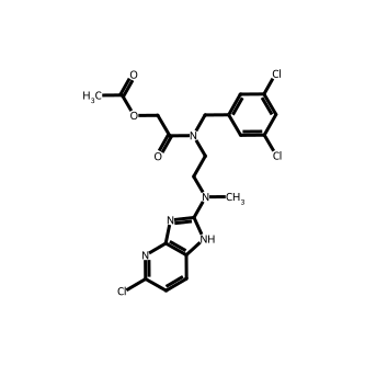 CC(=O)OCC(=O)N(CCN(C)c1nc2nc(Cl)ccc2[nH]1)Cc1cc(Cl)cc(Cl)c1